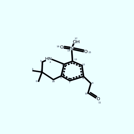 CC1(C)CNc2c(cc(CC=O)cc2S(=O)(=O)O)C1